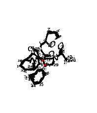 CC(C)N1C(=O)N(CC2CCCO2)C(=O)C12CC1CCC(C2)N1C[C@H]1CN(C(=O)CC(C)(C)C)C[C@@H]1c1ccccc1